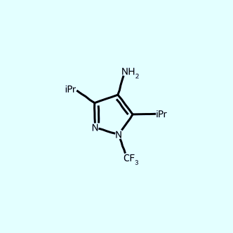 CC(C)c1nn(C(F)(F)F)c(C(C)C)c1N